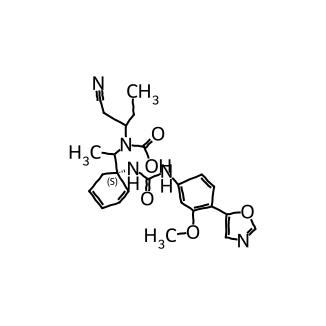 CCC(CC#N)N(C(=O)O)C(C)[C@@]1(NC(=O)Nc2ccc(-c3cnco3)c(OC)c2)C=CC=CC1